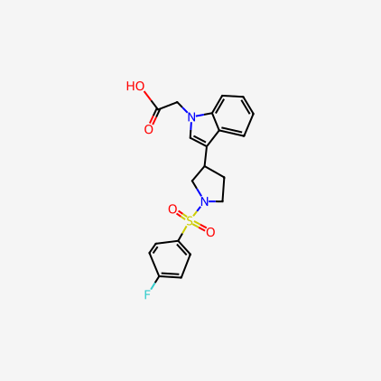 O=C(O)Cn1cc(C2CCN(S(=O)(=O)c3ccc(F)cc3)C2)c2ccccc21